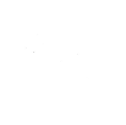 CC1Oc2cc(OCCCCBr)ccc2C(=O)C1C